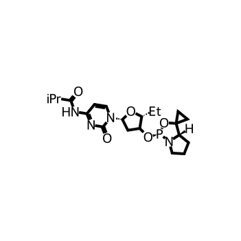 CC[C@H]1O[C@@H](n2ccc(NC(=O)C(C)C)nc2=O)CC1O[P@@]1OC2(CC2)[C@@H]2CCCN21